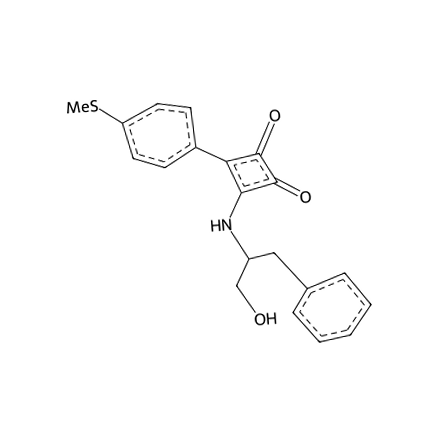 CSc1ccc(-c2c(NC(CO)Cc3ccccc3)c(=O)c2=O)cc1